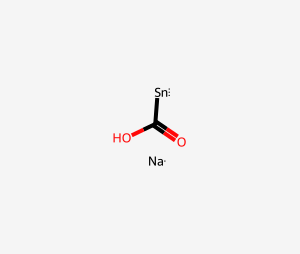 O=[C](O)[Sn].[Na]